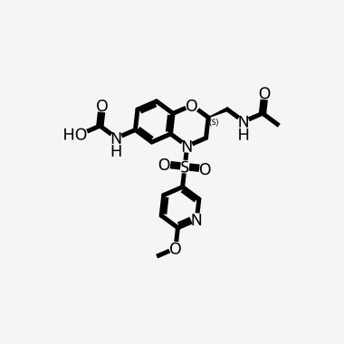 COc1ccc(S(=O)(=O)N2C[C@H](CNC(C)=O)Oc3ccc(NC(=O)O)cc32)cn1